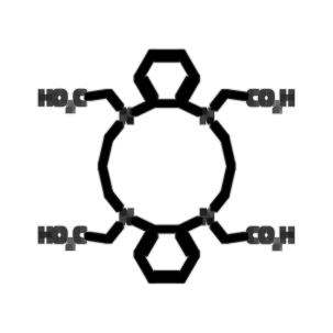 O=C(O)CN1CCCN(CC(=O)O)c2ccccc2N(CC(=O)O)CCCN(CC(=O)O)c2ccccc21